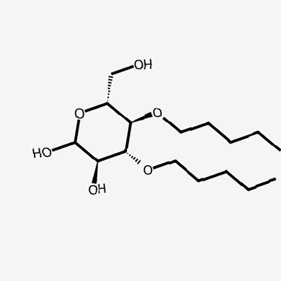 CCCCCO[C@H]1[C@H](OCCCCC)[C@@H](O)C(O)O[C@@H]1CO